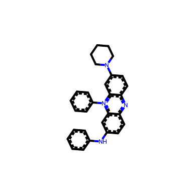 c1ccc(Nc2ccc3nc4ccc(N5CCCCC5)cc4[n+](-c4ccccc4)c3c2)cc1